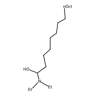 CCCCCCCCCCCCCCCC(O)N(CC)CC